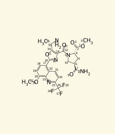 COC(=O)[C@@H]1C[C@@H](C(N)=O)CN1C(=O)c1nc(-c2ccc(OC)c3nc(C(F)(F)F)ccc23)oc1[C@H](C)N